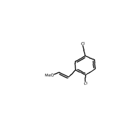 CO/C=C/c1cc(Cl)ccc1Cl